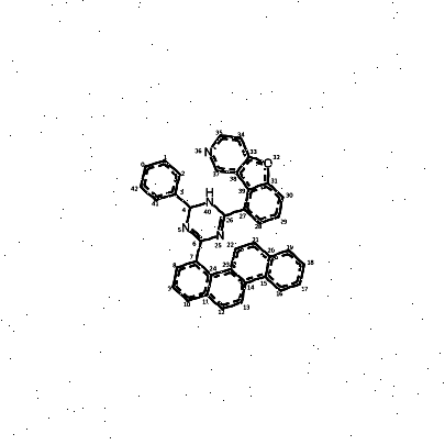 c1ccc(C2N=C(c3cccc4ccc5c6ccccc6ccc5c34)N=C(c3cccc4oc5ccncc5c34)N2)cc1